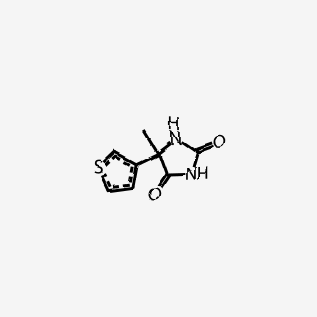 CC1(c2ccsc2)NC(=O)NC1=O